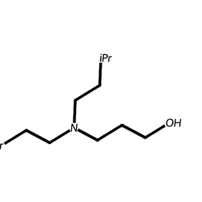 CC(C)CCN(CCCO)CCC(C)C